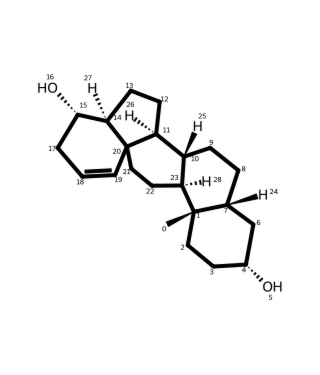 C[C@]12CC[C@@H](O)C[C@H]1CC[C@H]1[C@@H]3CC[C@@H]4[C@@H](O)CC=CC43CC[C@@H]12